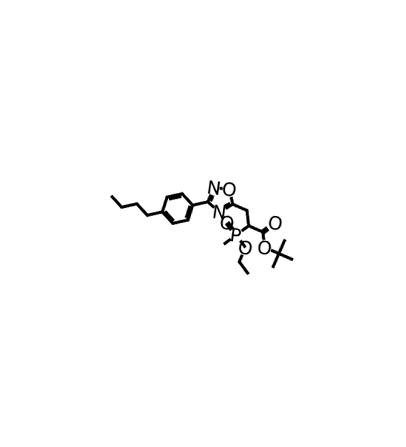 CCCCc1ccc(-c2noc(CC(C(=O)OC(C)(C)C)P(C)(=O)OCC)n2)cc1